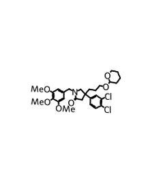 COc1cc(CN2CC(CCCOC3CCCCO3)(c3ccc(Cl)c(Cl)c3)CC2=O)cc(OC)c1OC